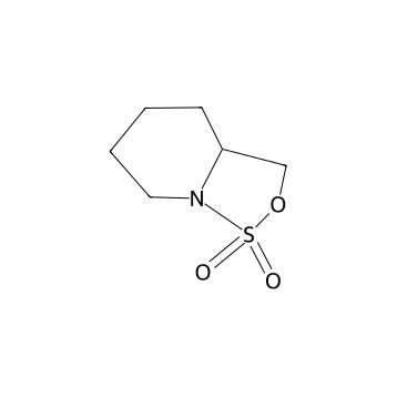 O=S1(=O)OCC2CCCCN21